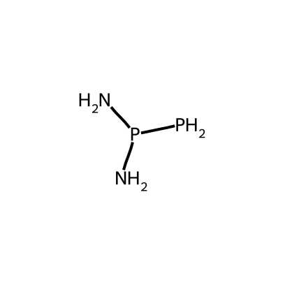 NP(N)P